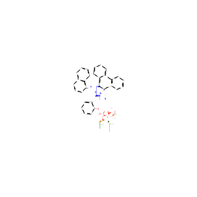 O=S(=O)(Oc1ccccc1-c1nc2c3ccccc3c3ccccc3c2n1-c1cccc2ccccc12)C(F)(F)F